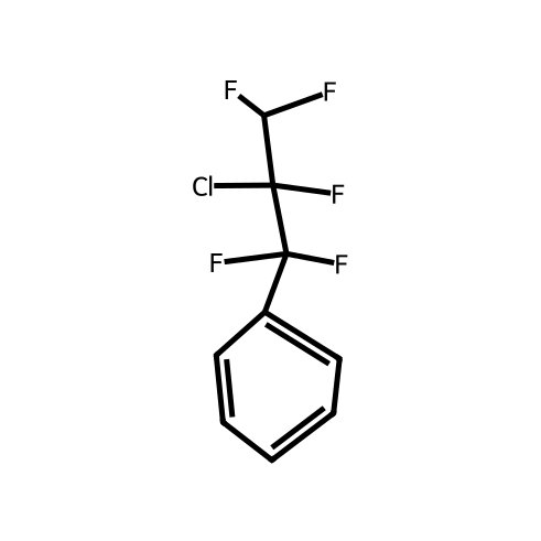 FC(F)C(F)(Cl)C(F)(F)c1ccccc1